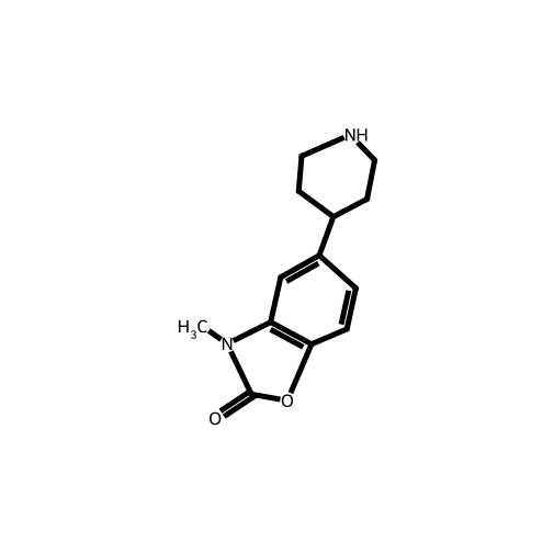 Cn1c(=O)oc2ccc(C3CCNCC3)cc21